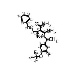 CC(c1ccc(OC(F)(F)F)c(F)c1)n1nc(COCc2ccccc2)c(C(N)=O)c1N